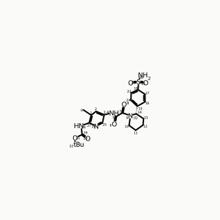 Cc1cc(NC(=O)C(=O)N2CCCC[C@H]2c2ccc(S(N)(=O)=O)cc2)cnc1NC(=O)OC(C)(C)C